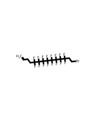 C=CCCC(F)(F)C(F)(F)C(F)(F)C(F)(F)C(F)(F)C(F)(F)C(F)(F)C(F)(F)CCC(C)C